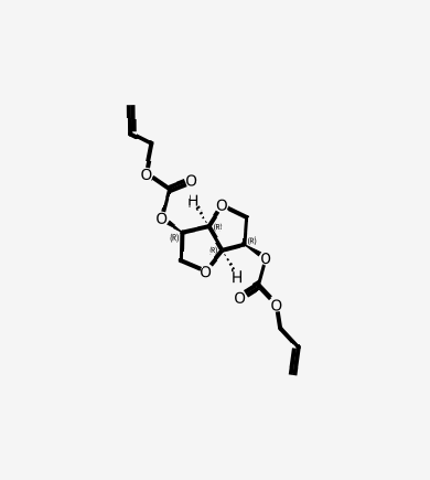 C=CCOC(=O)O[C@@H]1CO[C@H]2[C@@H]1OC[C@H]2OC(=O)OCC=C